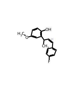 COc1ccc(O)c(C(C)/C=C\c2ccc(F)cc2)c1